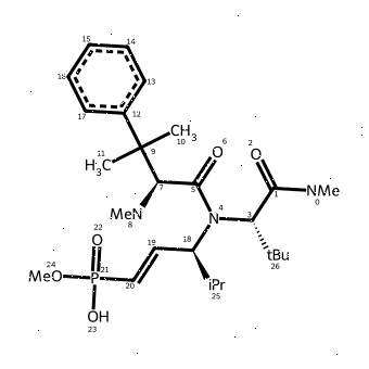 CNC(=O)[C@@H](N(C(=O)[C@@H](NC)C(C)(C)c1ccccc1)[C@H](/C=C/P(=O)(O)OC)C(C)C)C(C)(C)C